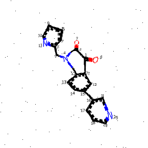 O=C1C(=O)N(Cc2ccccn2)c2ccc(-c3cccnc3)cc21